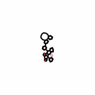 c1cc(-c2ccc3c(c2)CCCCCCCc2ccccc2-3)cc(-c2cc3c(c4ccccc24)Oc2ccccc2C32c3ccccc3-c3ccccc32)c1